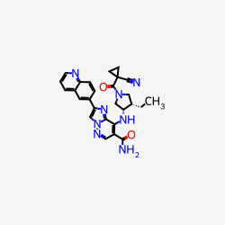 CC[C@H]1CN(C(=O)C2(C#N)CC2)C[C@H]1Nc1c(C(N)=O)cnn2cc(-c3ccc4ncccc4c3)nc12